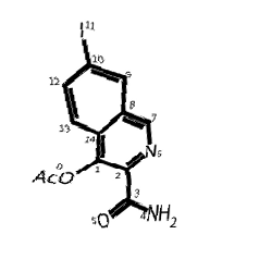 CC(=O)Oc1c(C(N)=O)ncc2cc(I)ccc12